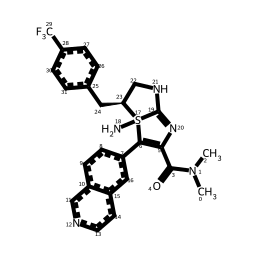 CN(C)C(=O)C1=C(c2ccc3cnccc3c2)S2(N)C(=N1)NC[C@@H]2Cc1ccc(C(F)(F)F)cc1